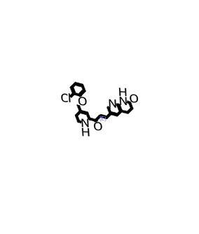 O=C1CCc2cc(/C=C/C(=O)C3C=C(COc4ccccc4Cl)CCN3)cnc2N1